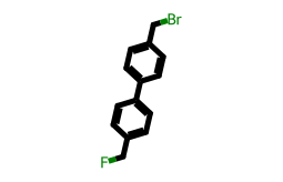 FCc1ccc(-c2ccc(CBr)cc2)cc1